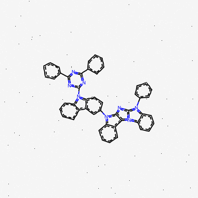 c1ccc(-c2nc(-c3ccccc3)nc(-n3c4ccccc4c4cc(-n5c6ccccc6c6c5nc5n(-c7ccccc7)c7ccccc7n65)ccc43)n2)cc1